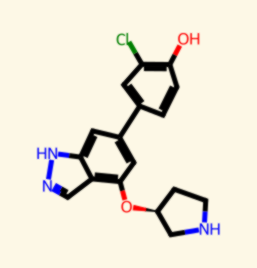 Oc1ccc(-c2cc(O[C@H]3CCNC3)c3cn[nH]c3c2)cc1Cl